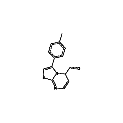 Cc1ccc(C2=CSC3=NC=CC(C=O)N23)cc1